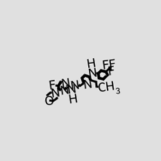 CCCc1nc(/C=N/Nc2ncc(F)c(N3CCOCC3)n2)ccc1Nc1cccc(C(F)(F)F)c1